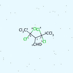 O=[C]C(C(Cl)(Cl)C(Cl)(Cl)Cl)C(Cl)(Cl)C(Cl)(Cl)Cl